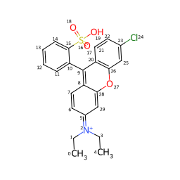 CC[N+](CC)=c1ccc2c(-c3ccccc3S(=O)(=O)O)c3ccc(Cl)cc3oc-2c1